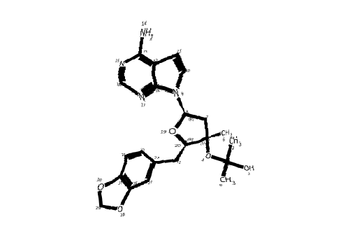 CC(C)(O)O[C@@]1(C)C[C@H](n2ccc3c(N)ncnc32)O[C@@H]1Cc1ccc2c(c1)OCO2